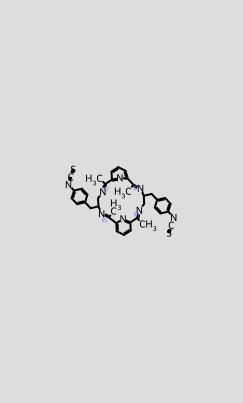 C/C1=N\CC(Cc2ccc(N=C=S)cc2)/N=C(\C)c2cccc(n2)/C(C)=N/CC(Cc2ccc(N=C=S)cc2)/N=C(\C)c2cccc1n2